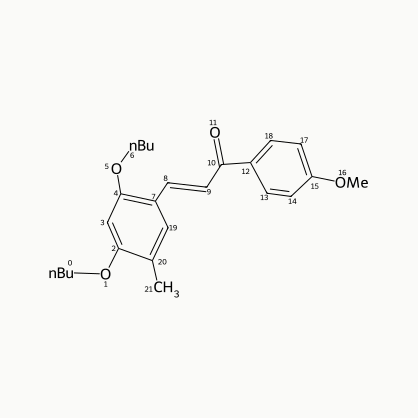 CCCCOc1cc(OCCCC)c(C=CC(=O)c2ccc(OC)cc2)cc1C